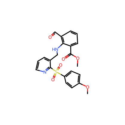 COC(=O)c1cccc(C=O)c1NCc1cccnc1S(=O)(=O)c1ccc(OC)cc1